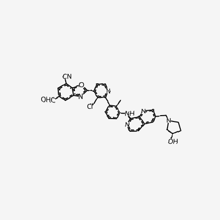 Cc1c(Nc2nccc3cc(CN4CC[C@@H](O)C4)cnc23)cccc1-c1nccc(-c2nc3cc(C=O)cc(C#N)c3o2)c1Cl